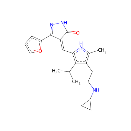 Cc1[nH]c(C=C2C(=O)NN=C2c2ccco2)c(C(C)C)c1CCNC1CC1